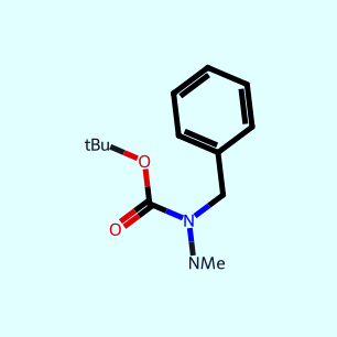 CNN(Cc1ccccc1)C(=O)OC(C)(C)C